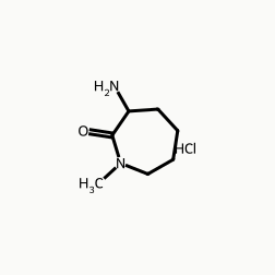 CN1CCCCC(N)C1=O.Cl